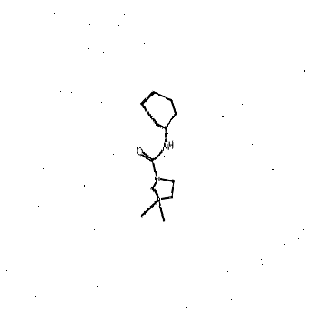 CC1(C)CCN(C(=O)NC2CCCCC2)C1